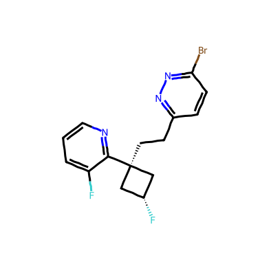 Fc1cccnc1[C@]1(CCc2ccc(Br)nn2)C[C@@H](F)C1